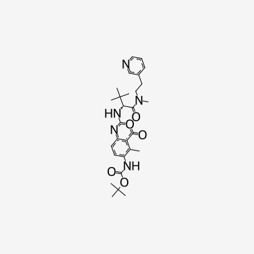 Cc1c(NC(=O)OC(C)(C)C)ccc2nc(N[C@H](C(=O)N(C)CCc3cccnc3)C(C)(C)C)oc(=O)c12